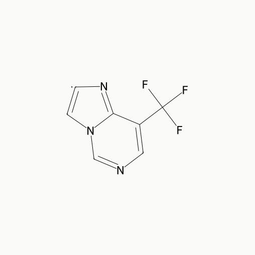 FC(F)(F)c1cncn2c[c]nc12